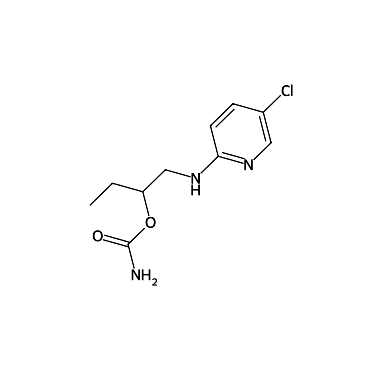 CCC(CNc1ccc(Cl)cn1)OC(N)=O